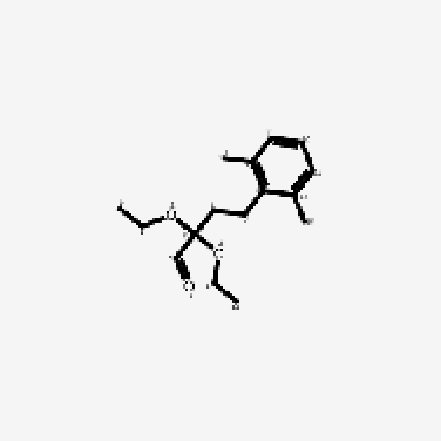 CCOC(C=O)(CCc1c(C)cccc1C)OCC